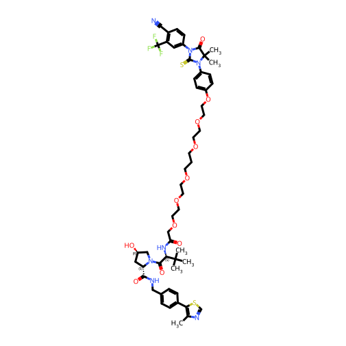 Cc1ncsc1-c1ccc(CNC(=O)[C@@H]2C[C@@H](O)CN2C(=O)[C@@H](NC(=O)COCCOCCOCCCOCCOCCOc2ccc(N3C(=S)N(c4ccc(C#N)c(C(F)(F)F)c4)C(=O)C3(C)C)cc2)C(C)(C)C)cc1